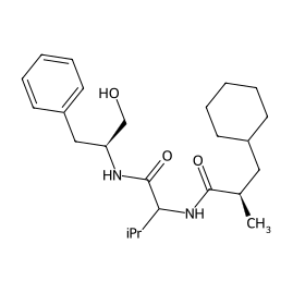 CC(C)C(NC(=O)[C@H](C)CC1CCCCC1)C(=O)N[C@H](CO)Cc1ccccc1